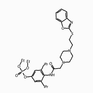 CCOP(=O)(OCC)Oc1cc(C(C)C)c(NC(=O)CN2CCN(CCSc3nc4ccccc4o3)CC2)c(C(C)C)c1